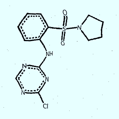 O=S(=O)(c1ccccc1Nc1ncnc(Cl)n1)N1CCCC1